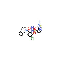 O=C(c1ccc(Cl)cc1NS(=O)(=O)C1=CC=CN2SNC=C12)N1CCCc2ccccc2C1